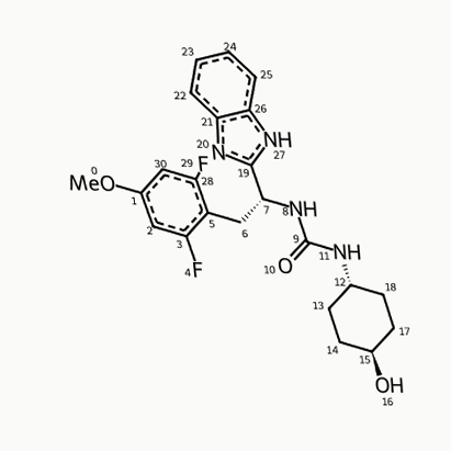 COc1cc(F)c(C[C@@H](NC(=O)N[C@H]2CC[C@H](O)CC2)c2nc3ccccc3[nH]2)c(F)c1